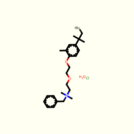 Cc1cc(C(C)(C)CC(C)(C)C)ccc1OCCOCC[N+](C)(C)Cc1ccccc1.O.[Cl-]